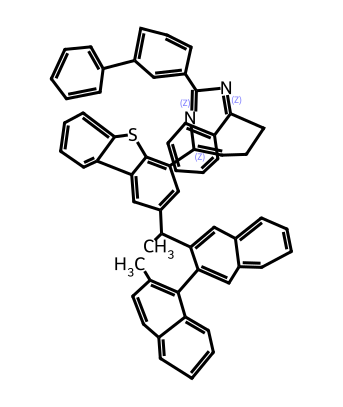 Cc1ccc2ccccc2c1-c1cc2ccccc2cc1C(C)c1cc(C2=C/CC/C(c3ccccc3)=N/C(c3cccc(-c4ccccc4)c3)=N\2)c2sc3ccccc3c2c1